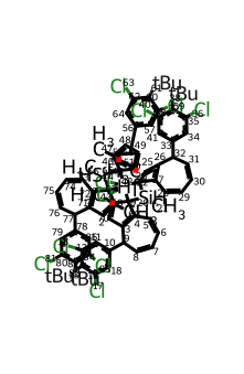 CC1=CC2=C(C=CC=CC2c2cc(Cl)c(C(C)(C)C)c(Cl)c2)[C]12[SiH](C)[C]1(C(C)=CC3=C1C=CC=CC3c1cc(Cl)c(C(C)(C)C)c(Cl)c1)[Hf]21([Cl])([Cl])[C]2(C(C)=CC3=C2C=CC=CC3c2cc(Cl)c(C(C)(C)C)c(Cl)c2)[SiH](C)[C]12C(C)=CC1=C2C=CC=CC1c1cc(Cl)c(C(C)(C)C)c(Cl)c1